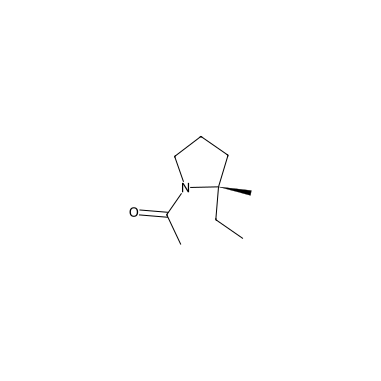 CC[C@@]1(C)CCCN1C(C)=O